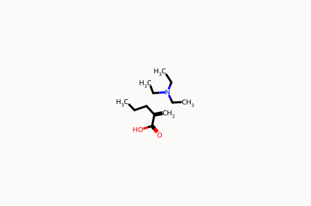 C=C(CCC)C(=O)O.CCN(CC)CC